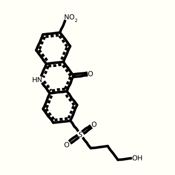 O=c1c2cc([N+](=O)[O-])ccc2[nH]c2ccc(S(=O)(=O)CCCO)cc12